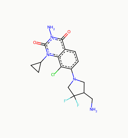 NCC1CN(c2ccc3c(=O)n(N)c(=O)n(C4CC4)c3c2Cl)CC1(F)F